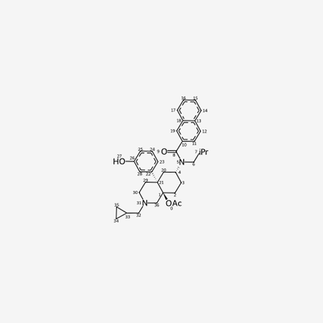 CC(=O)O[C@]12CC[C@@H](N(CC(C)C)C(=O)c3ccc4ccccc4c3)C[C@]1(c1cccc(O)c1)CCN(CC1CC1)C2